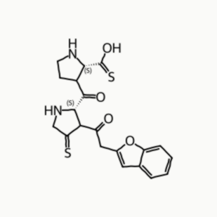 O=C(Cc1cc2ccccc2o1)C1C(=S)CN[C@@H]1C(=O)C1CCN[C@@H]1C(O)=S